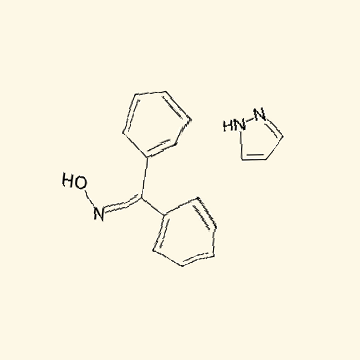 ON=C(c1ccccc1)c1ccccc1.c1cn[nH]c1